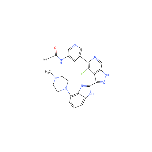 CCCC(=O)Nc1cncc(-c2ncc3[nH]nc(-c4nc5c(N6CCN(C)CC6)cccc5[nH]4)c3c2F)c1